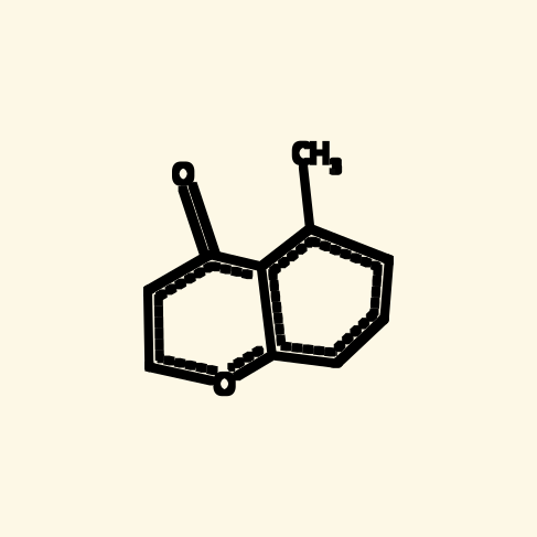 Cc1cccc2occc(=O)c12